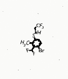 Cc1c(SNCC(F)(F)F)ccc(Br)c1C(F)F